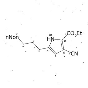 CCCCCCCCCCCCc1cc(C#N)c(C(=O)OCC)[nH]1